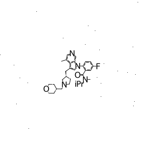 Cc1cncc2c1c(C[C@H]1CCN(CC3CCOCC3)C1)cn2-c1ccc(F)cc1C(=O)N(C)C(C)C